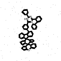 c1ccc(-c2ccccc2C2=NC(c3ccccc3)NC(c3cccc(-c4cccc5c4-c4ccccc4C54c5ccccc5C5(c6ccccc6Sc6ccccc65)c5ccccc54)c3)=N2)cc1